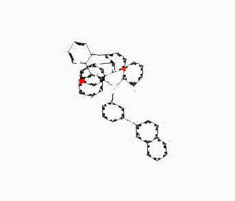 C1=CC2c3cccc4c3-c3cc(N(c5ccccc5)c5cccc(-c6ccc7ccccc7c6)c5)ccc3-c3cccc-4c3C2C=C1